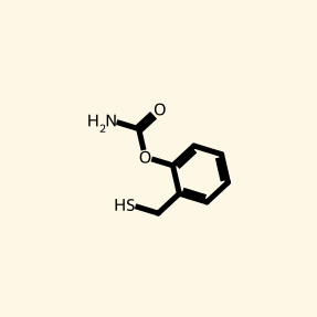 NC(=O)Oc1ccccc1CS